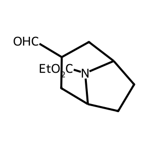 CCOC(=O)N1C2CCC1CC(C=O)C2